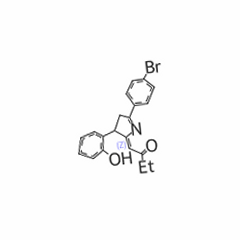 CCC(=O)/C=C1\N=C(c2ccc(Br)cc2)CC1c1ccccc1O